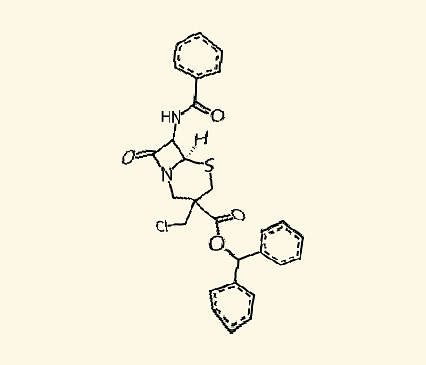 O=C(NC1C(=O)N2CC(CCl)(C(=O)OC(c3ccccc3)c3ccccc3)CS[C@H]12)c1ccccc1